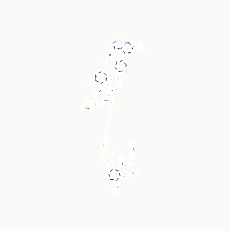 CCOc1cc(-c2ccc(N3CCC(CN(CCCCCCCCN4CCN(c5ccc(C=O)c(CN(C)C(C=O)CCC=O)c5)CC4)CCNC=O)(NC(=O)c4cc(F)ccc4F)CC3)nc2)c2c(C#N)cnn2c1